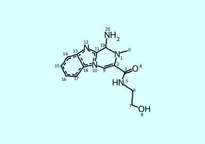 CN1C(C(=O)NCCO)=Cn2c(nc3ccccc32)C1N